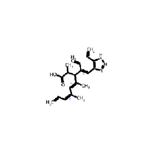 C=C/C=C(C)\C=C(/C)C(/C(C=C)=C/c1nn[nH]c1C=C)C(C)C(=O)O